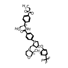 CCS(=O)(=O)c1ccc([C@H](CO)NC(=O)c2ccc(N3C[C@H](Oc4ccc(C(F)(F)F)cc4)C[C@H]3CN3CCOC[C@@H]3C)cc2)cc1